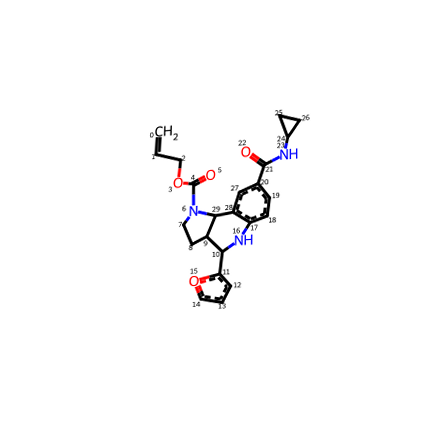 C=CCOC(=O)N1CCC2C(c3ccco3)Nc3ccc(C(=O)NC4CC4)cc3C21